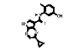 Cc1ccc(C#N)cc1NC(=O)c1c[nH]c2ncc(C3CC3)nc12